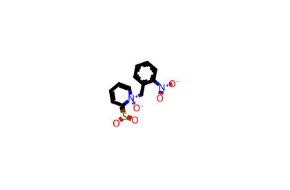 O=[N+]([O-])c1ccccc1C[N+]1([O-])C=CC=CC1=S(=O)=O